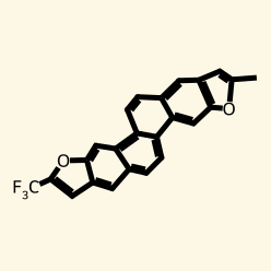 Cc1cc2cc3ccc4c5cc6oc(C(F)(F)F)cc6cc5ccc4c3cc2o1